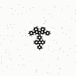 c1ccc(-c2c3ccccc3c(-c3ccc(-n4c5cc(-c6ccccc6)c6ccccc6c5c5c6ccccc6c(-c6ccccc6)cc54)cc3)c3ccccc23)cc1